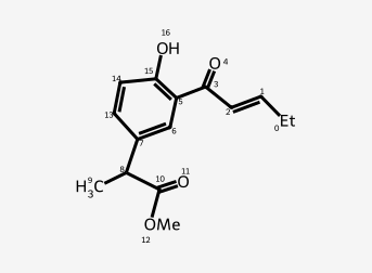 CC/C=C/C(=O)c1cc(C(C)C(=O)OC)ccc1O